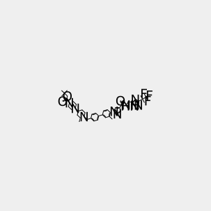 Cc1cc(-c2ccc(CN3CC[C@H](N4CCN(C(=O)OC(C)(C)C)CC4)C[C@@H]3C)cc2)ccc1-n1cc(C(=O)NCc2nc(C(C)(C)C(F)(F)F)n[nH]2)cn1